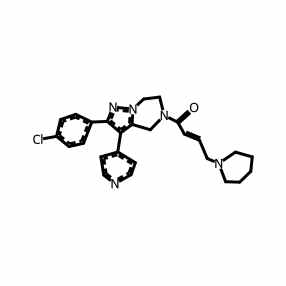 O=C(/C=C/CN1CCCCC1)N1CCn2nc(-c3ccc(Cl)cc3)c(-c3ccncc3)c2C1